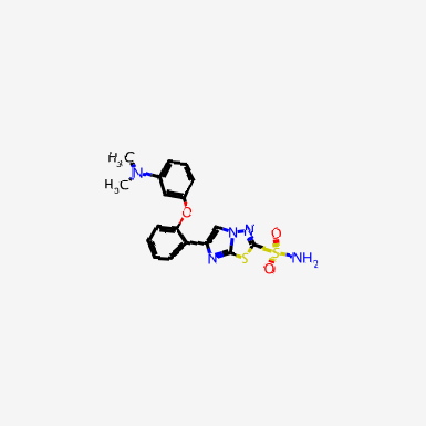 CN(C)c1cccc(Oc2ccccc2-c2cn3nc(S(N)(=O)=O)sc3n2)c1